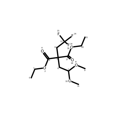 CCOC(=O)C(CC(OC)OC)(CC(F)(F)F)C(=O)OCC